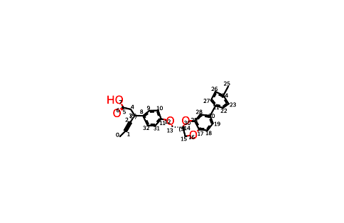 CC#C[C@@H](CC(=O)O)c1ccc(OC[C@H]2COc3ccc(-c4ccc(C)cc4)cc3O2)cc1